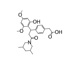 COc1cc(O)c(C(CC(=O)N2CC(C)CC(C)C2)c2ccc(CC(=O)O)cc2)c(OC)c1